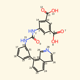 O=C(Nc1cc(C(=O)O)cc(C(=O)O)c1)Nc1cccc(-c2cccc3ccncc23)c1